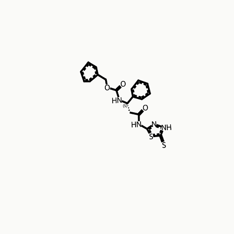 O=C(C[C@H](NC(=O)OCc1ccccc1)c1ccccc1)Nc1n[nH]c(=S)s1